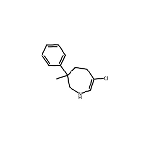 CC1(c2ccccc2)CCC(Cl)=CNC1